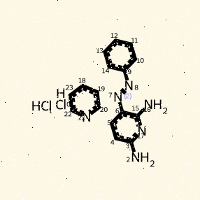 Cl.Cl.Nc1ccc(/N=N/c2ccccc2)c(N)n1.c1ccncc1